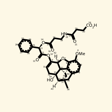 COc1ccc2c3c1O[C@@H]1C(OC(=O)[C@H](OC(=O)CCNC(=O)CCC(=O)O)c4ccccc4)=CC[C@]4(O)[C@H](C2)N(C)CC[C@@]314